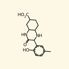 Cc1ccc(O)c(C2NC3CCC(C(=O)O)CC3NC2=O)c1